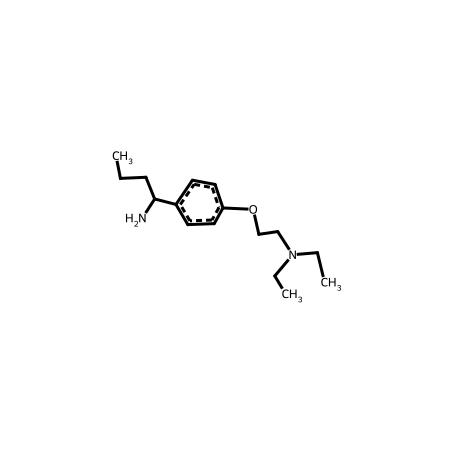 CCCC(N)c1ccc(OCCN(CC)CC)cc1